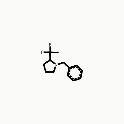 FC(F)(F)C1CCCN1Cc1ccccc1